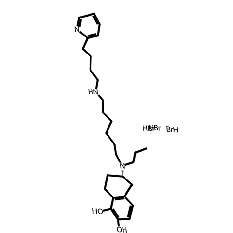 Br.Br.Br.CCCN(CCCCCCNCCCCc1ccccn1)[C@H]1CCc2c(ccc(O)c2O)C1